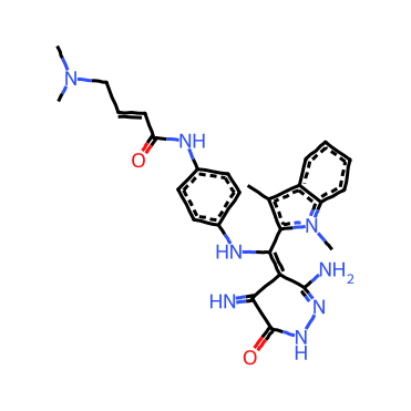 Cc1c(/C(Nc2ccc(NC(=O)/C=C/CN(C)C)cc2)=C2/C(=N)C(=O)NN=C2N)n(C)c2ccccc12